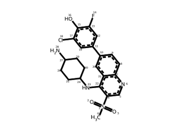 CS(=O)(=O)c1cnc2ccc(-c3cc(F)c(O)c(Cl)c3)cc2c1NC1CCC(N)CC1